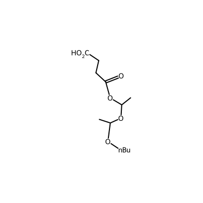 CCCCOC(C)OC(C)OC(=O)CCC(=O)O